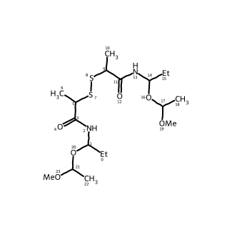 CCC(NC(=O)C(C)SSC(C)C(=O)NC(CC)OC(C)OC)OC(C)OC